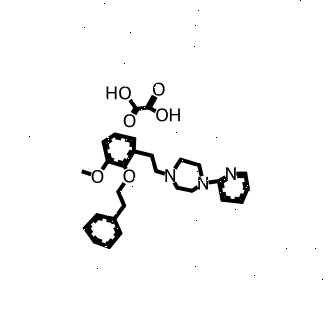 COc1cccc(CCN2CCN(c3ccccn3)CC2)c1OCCc1ccccc1.O=C(O)C(=O)O